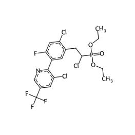 CCOP(=O)(OCC)C(Cl)Cc1cc(-c2ncc(C(F)(F)F)cc2Cl)c(F)cc1Cl